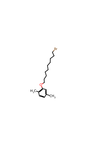 Cc1ccc(C)c(OCCCCCCCCCCBr)c1